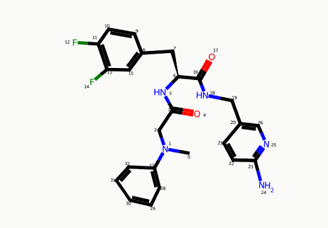 CN(CC(=O)N[C@@H](Cc1ccc(F)c(F)c1)C(=O)NCc1ccc(N)nc1)c1ccccc1